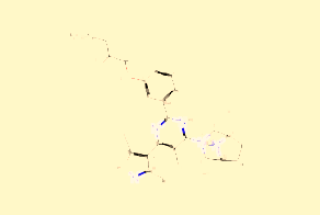 CNCC(O)COc1cccc(-c2nc(-c3c(C)noc3C)c(C)c(N3C[C@H]4CC[C@@H](C3)N4C)n2)c1